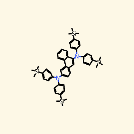 C[Si](C)(C)c1ccc(N(c2ccc([Si](C)(C)C)cc2)c2ccc3cc(N(c4ccc([Si](C)(C)C)cc4)c4ccc([Si](C)(C)C)cc4)c4ccccc4c3c2)cc1